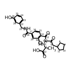 C[C@H](NN(C(=O)CC1CCCC1)C(=O)c1ccc(C(=O)NCc2cccc(O)c2)cc1Cl)C(=O)O